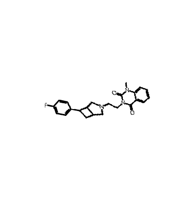 Cn1c(=O)n(CCN2CC3CC(c4ccc(F)cc4)C3C2)c(=O)c2ccccc21